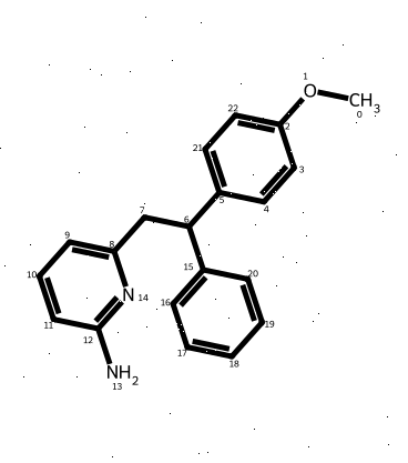 COc1ccc(C(Cc2cccc(N)n2)c2ccccc2)cc1